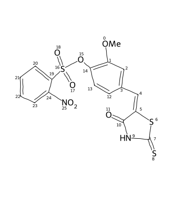 COc1cc(/C=C2/SC(=S)NC2=O)ccc1OS(=O)(=O)c1ccccc1[N+](=O)[O-]